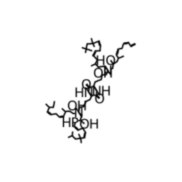 C=C/C=C\C/C=C\C(C)CC(O)CN(CCCCC1NC(=O)C(CCCCN(CC(O)P/C=C\C/C=C\C(C)(C)CC(C)C)CC(O)C(C)/C=C\C/C=C\C(C)CC)NC1=O)CC(O)C(C)C/C=C\C/C=C\C(C)(C)CC(C)(C)C